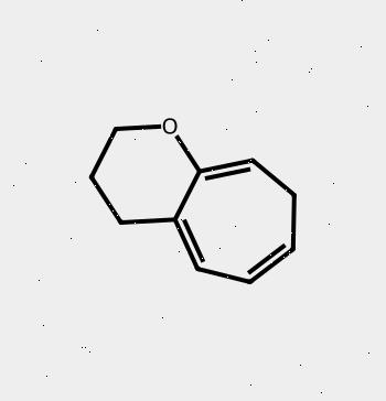 C1=CCC=C2OCCCC2=C1